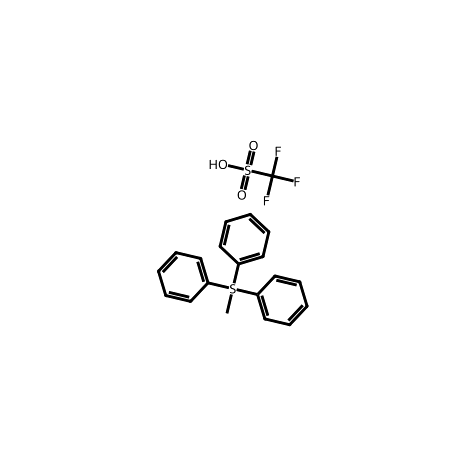 CS(c1ccccc1)(c1ccccc1)c1ccccc1.O=S(=O)(O)C(F)(F)F